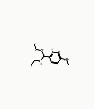 CBc1ccc(C(OCC)OCC)nc1